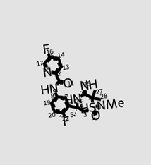 CN[SH]1(=O)C[C@@](C)(c2cc(NC(=O)c3ccc(F)cn3)ccc2F)NC(=N)C1(C)C